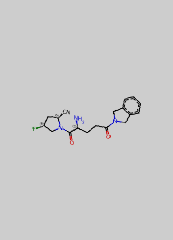 N#C[C@@H]1C[C@H](F)CN1C(=O)[C@@H](N)CCC(=O)N1Cc2ccccc2C1